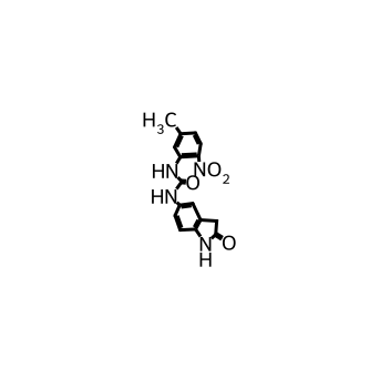 Cc1ccc([N+](=O)[O-])c(NC(=O)Nc2ccc3c(c2)CC(=O)N3)c1